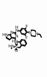 CCN1CCN(c2c(F)cc(Nc3nc(Nc4ccccc4CS(=O)(=O)NC)c4cc[nH]c4n3)cc2F)CC1